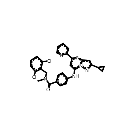 CN(Cc1c(Cl)cccc1Cl)C(=O)c1ccc(Nc2cc(-c3ccccn3)nc3cc(C4CC4)nn23)cc1